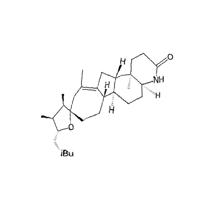 CC[C@@H](C)C[C@H]1O[C@]2(CC[C@@H]3C(=C(C)C2)C[C@H]2[C@H]3CC[C@@H]3NC(=O)CC[C@@]32C)[C@H](C)[C@@H]1C